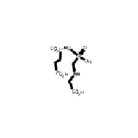 O=C(O)CCC(=O)O.O=C(O)CNCP(=O)(O)O